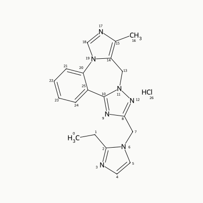 CCc1nccn1Cc1nc2n(n1)Cc1c(C)ncn1-c1ccccc1-2.Cl